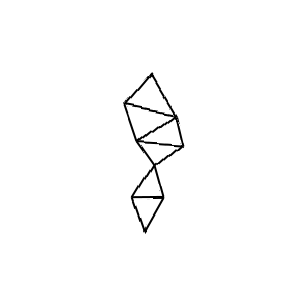 C1C2C1C21C2C34CC3C241